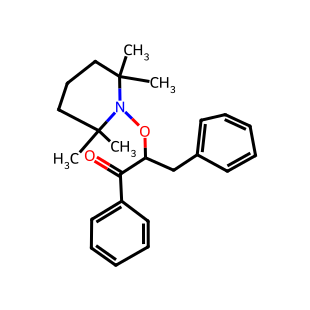 CC1(C)CCCC(C)(C)N1OC(Cc1ccccc1)C(=O)c1ccccc1